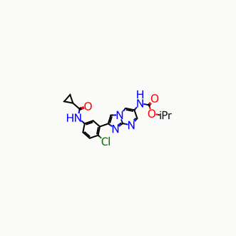 CC(C)OC(=O)Nc1cnc2nc(-c3cc(NC(=O)C4CC4)ccc3Cl)cn2c1